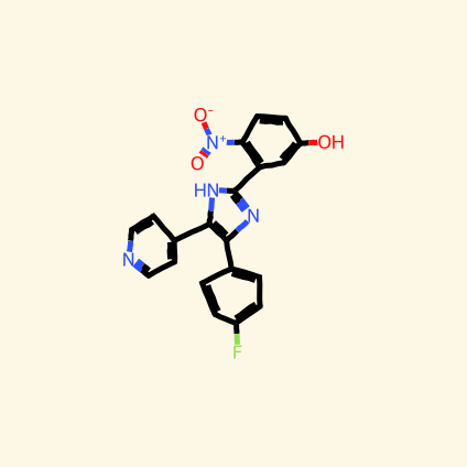 O=[N+]([O-])c1ccc(O)cc1-c1nc(-c2ccc(F)cc2)c(-c2ccncc2)[nH]1